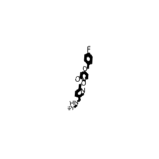 CC(C)CNCc1ccc(COn2ccc(OCc3ccc(F)cc3)cc2=O)nc1